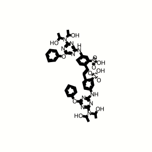 CC(O)N(c1nc(Nc2ccc(C=Cc3ccc(Nc4nc(Oc5ccccc5)nc(N(C(C)O)C(C)O)n4)cc3S(=O)(=O)O)c(S(=O)(=O)O)c2)nc(Oc2ccccc2)n1)C(C)O